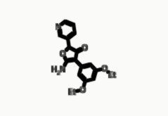 CCOc1cc(OCC)cc(C2=C(N)OC(c3cccnc3)C2=O)c1